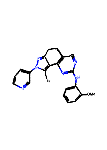 COc1ccccc1Nc1ncc2c(n1)-c1c(nn(-c3cccnc3)c1C(C)C)CC2